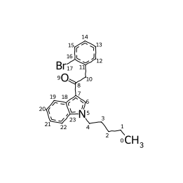 CCCCCn1cc(C(=O)Cc2ccccc2Br)c2ccccc21